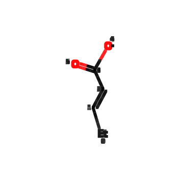 CC/C=C/C([O])=O